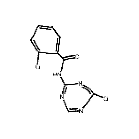 O=C(Nc1ncnc(Cl)n1)c1ccccc1Cl